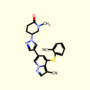 CN1C[C@@H](n2cc(-c3cc(Sc4ccccc4C#N)c4c(C#N)cnn4c3)cn2)CCC1=O